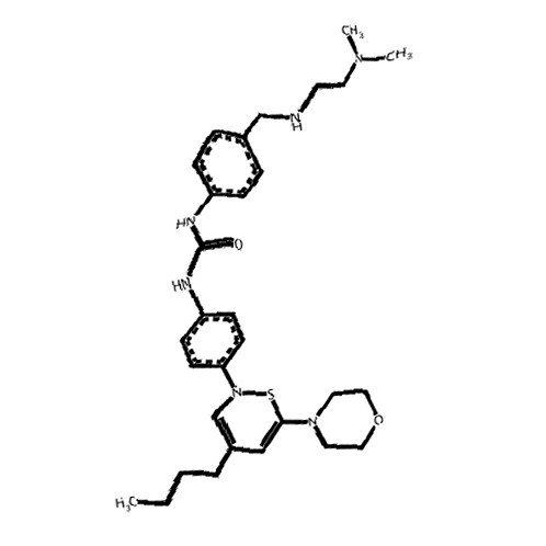 CCCCC1=CN(c2ccc(NC(=O)Nc3ccc(CNCCN(C)C)cc3)cc2)SC(N2CCOCC2)=C1